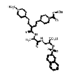 CCOC(=O)C(CNC(=O)C(C)NC(=O)C(CCC1CCN(C(=O)O)CC1)CCC1CCN(C(=O)OC(C)(C)C)CC1)NS(=O)(=O)c1ccc2ccccc2c1